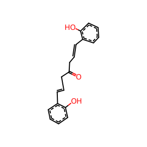 O=C(CC=Cc1ccccc1O)CC=Cc1ccccc1O